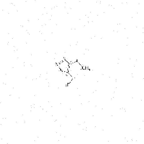 CCc1nnsc1CF